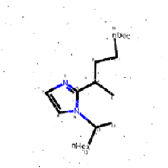 CCCCCCCCCCCCC(C)c1nccn1C(C)CCCCCC